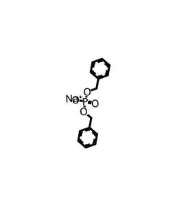 O=P([O-])(OCc1ccccc1)OCc1ccccc1.[Na+]